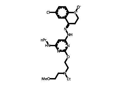 CCCNc1cc(N/N=C2\CC[S+]([O-])c3ccc(Cl)cc32)nc(OCCN(CC)CCOC)n1